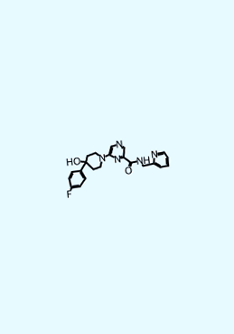 O=C(NCc1ccccn1)c1cncc(N2CCC(O)(c3ccc(F)cc3)CC2)n1